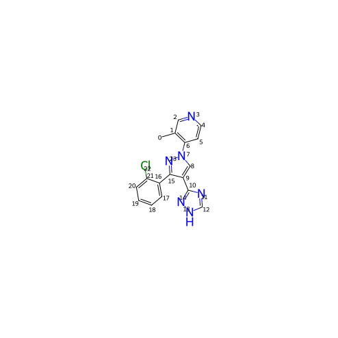 Cc1cn[c]cc1-n1cc(-c2nc[nH]n2)c(-c2ccccc2Cl)n1